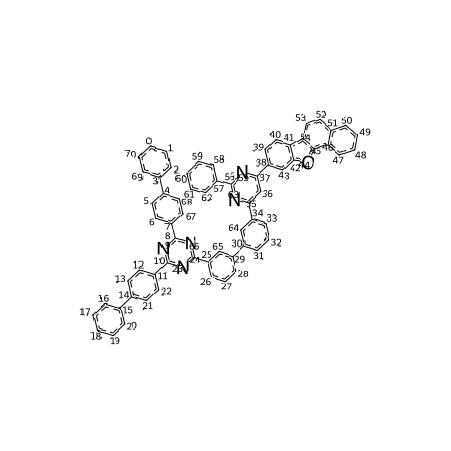 c1ccc(-c2ccc(-c3nc(-c4ccc(-c5ccccc5)cc4)nc(-c4cccc(-c5cccc(-c6cc(-c7ccc8c(c7)oc7c9ccccc9ccc87)nc(-c7ccccc7)n6)c5)c4)n3)cc2)cc1